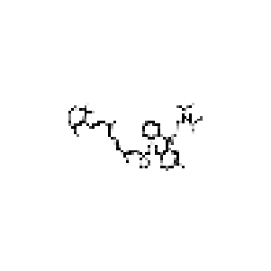 CC(C=CC1=C(C)CCCC1(C)C)=CC=CC(C)=CC(=O)Oc1ccc(C)cc1[C@H](CCN(C(C)C)C(C)C)c1ccccc1